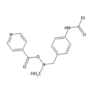 CCC(=O)Nc1ccc(CN(OC(=O)c2ccncc2)C(=O)O)cc1